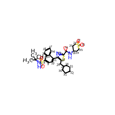 CC(C)(C)NS(=O)(=O)c1ccc(-c2nc(C(=O)NC3CCS(=O)(=O)CC3)sc2CC2CCCCC2)c2ccccc12